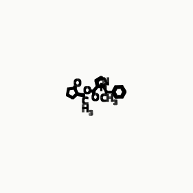 C/C(OC(=O)c1ccnn1[C@H](C)c1ccccc1)=C1\CCCC1=O